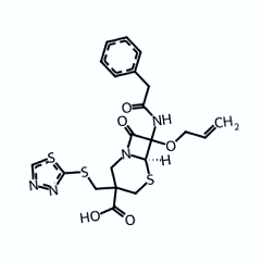 C=CCOC1(NC(=O)Cc2ccccc2)C(=O)N2CC(CSc3nncs3)(C(=O)O)CS[C@@H]21